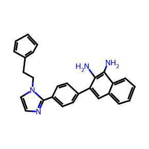 Nc1c(-c2ccc(-c3nccn3CCc3ccccc3)cc2)cc2ccccc2c1N